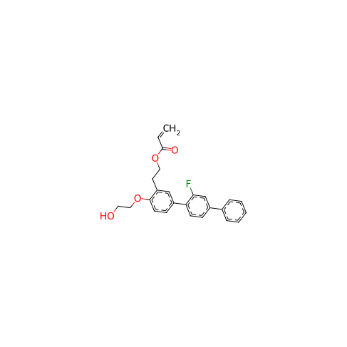 C=CC(=O)OCCc1cc(-c2ccc(-c3ccccc3)cc2F)ccc1OCCO